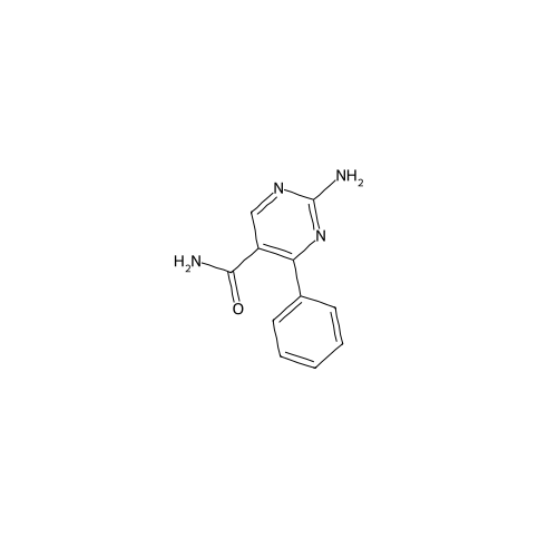 NC(=O)c1cnc(N)nc1-c1ccccc1